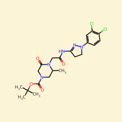 CC1CN(C(=O)OC(C)(C)C)CC(=O)N1CC(=O)NC1=NN(c2ccc(Cl)c(Cl)c2)CC1